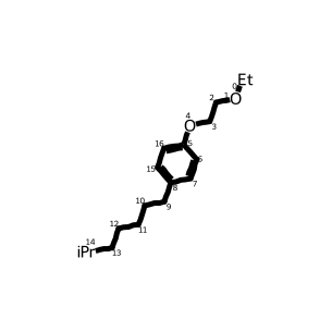 CCOCCOc1ccc(CCCCCC(C)C)cc1